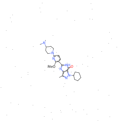 COc1nc(N2CCC(N(C)C)CC2)ccc1-c1nc2c(C)nn(C3CCCCC3)c2c(=O)[nH]1